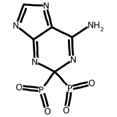 NC1=NC(P(=O)=O)(P(=O)=O)N=C2N=CN=C12